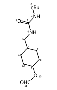 CCCCNC(=O)NCC1CCC(OC=O)CC1